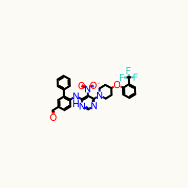 O=Cc1ccc(Nc2ncnc(N3CCC(Oc4ccccc4C(F)(F)F)CC3)c2[N+](=O)[O-])c(-c2ccccc2)c1